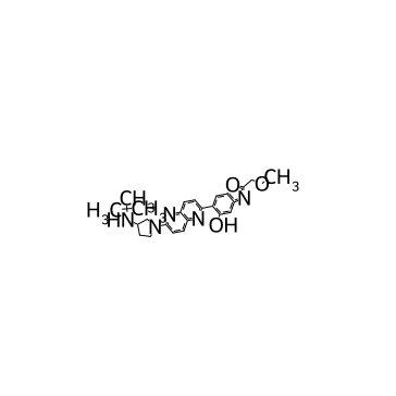 COCc1nc2cc(O)c(-c3ccc4nc(N5CCC(NC(C)(C)C)C5)ccc4n3)cc2o1